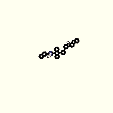 CC/C=C(\C=C/[C@H](C)c1ccc2ccccc2c1)c1c2ccccc2c(-c2cccc(-c3ccc4oc5c6c(ccc5c4c3)-c3ccccc3C6)c2)c2ccccc12